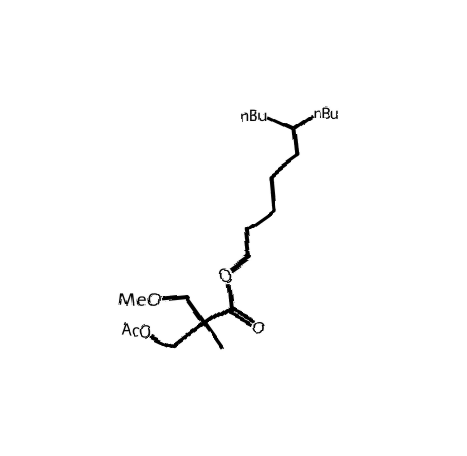 CCCCC(CCCC)CCCCCOC(=O)C(C)(COC)COC(C)=O